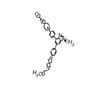 COCCN1CC2(C1)CN(c1ccc(-c3cc(-c4ccc(N5CCC6(CC5)CN(C5COC5)C6)cc4)c4ncn(C)c4c3)cc1)C2